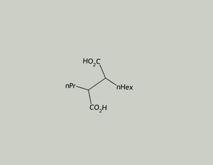 CCCCCCC(C(=O)O)C(CCC)C(=O)O